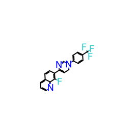 Fc1c(C2=CCN(c3ccc(C(F)(F)F)cc3)C=N2)ccc2cccnc12